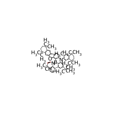 Cc1cc2c(cc1N1c3cc(C(C)(C)C)cc4c3B(c3c1ccc1c3oc3cc5c(cc31)C(C)(C)CCC5(C)C)N1c3ccccc3C(C)(C)c3cccc-4c31)C(C)(C)CCC2(C)C